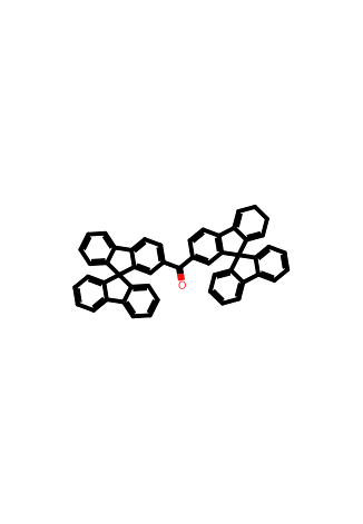 O=C(c1ccc2c(c1)C1(C3=CCCC=C32)c2ccccc2-c2ccccc21)c1ccc2c(c1)C1(c3ccccc3-c3ccccc31)c1ccccc1-2